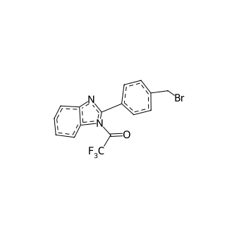 O=C(n1c(-c2ccc(CBr)cc2)nc2ccccc21)C(F)(F)F